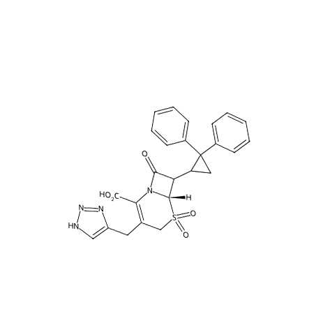 O=C(O)C1=C(Cc2c[nH]nn2)CS(=O)(=O)[C@H]2C(C3CC3(c3ccccc3)c3ccccc3)C(=O)N12